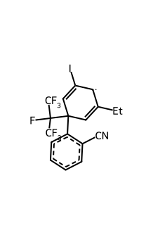 CCC1=CC(c2ccccc2C#N)(C(F)(C(F)(F)F)C(F)(F)F)C=C(I)[CH]1